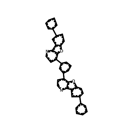 c1ccc(-c2ccc3oc4c(-c5cccc(-c6ccnc7c6oc6ccc(-c8ccccc8)cc67)c5)ccnc4c3c2)cc1